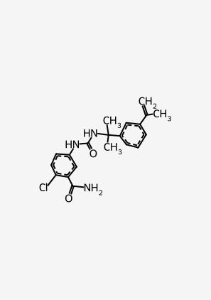 C=C(C)c1cccc(C(C)(C)NC(=O)Nc2ccc(Cl)c(C(N)=O)c2)c1